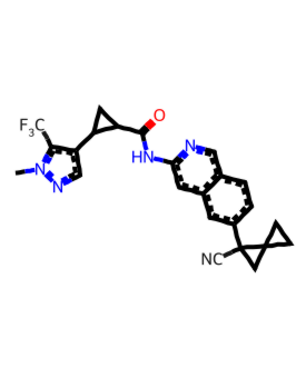 Cn1ncc(C2CC2C(=O)Nc2cc3cc(C4(C#N)CC45CC5)ccc3cn2)c1C(F)(F)F